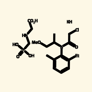 CCc1cccc(C)c1N(C(=O)CCl)C(C)COC.O=C(O)CNCP(=O)(O)O.[KH]